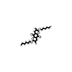 CCCCCCOC(=O)C(C)CC1CC(=O)C(CC(C)C(=O)OCCCCCC)CC1=O